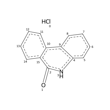 Cl.O=c1[nH]c2ccccc2c2ccccc12